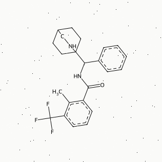 Cc1c(C(=O)NC(c2ccccc2)C23CCC(CC2)CN3)cccc1C(F)(F)F